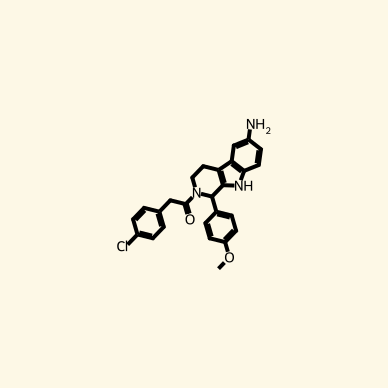 COc1ccc(C2c3[nH]c4ccc(N)cc4c3CCN2C(=O)Cc2ccc(Cl)cc2)cc1